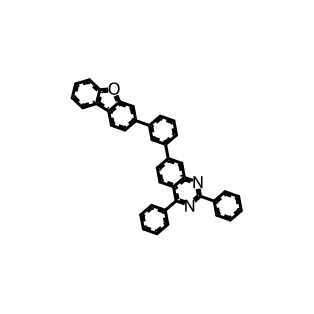 c1ccc(-c2nc(-c3ccccc3)c3ccc(-c4cccc(-c5ccc6c(c5)oc5ccccc56)c4)cc3n2)cc1